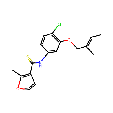 CC=C(C)COc1cc(NC(=S)c2ccoc2C)ccc1Cl